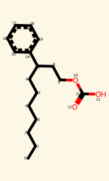 CCCCCCCC(CCOC(=O)O)c1ccccc1